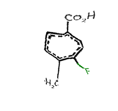 [CH2]c1ccc(C(=O)O)cc1F